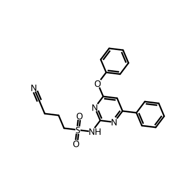 N#CCCCS(=O)(=O)Nc1nc(Oc2ccccc2)cc(-c2ccccc2)n1